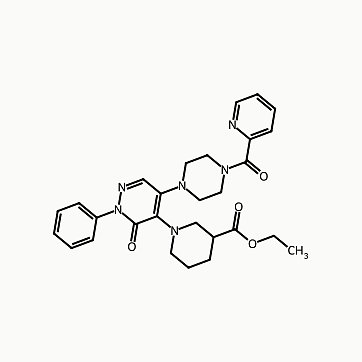 CCOC(=O)C1CCCN(c2c(N3CCN(C(=O)c4ccccn4)CC3)cnn(-c3ccccc3)c2=O)C1